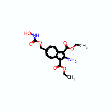 CCOC(=O)c1c2ccc(COC(=O)NO)ccc-2c(C(=O)OCC)c1N